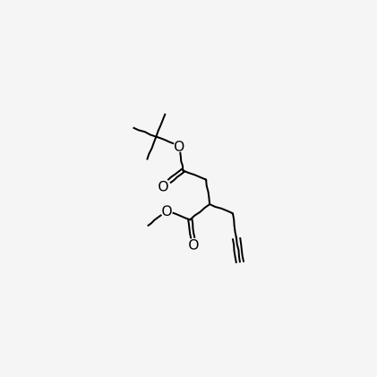 C#CCC(CC(=O)OC(C)(C)C)C(=O)OC